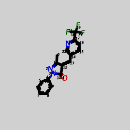 CC1=NN(c2ccccc2)C(=O)/C1=C/c1ccc(C(F)(F)F)nc1